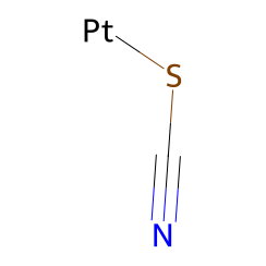 N#C[S][Pt]